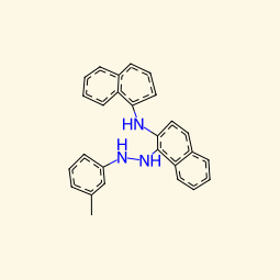 Cc1cccc(NNc2c(Nc3cccc4ccccc34)ccc3ccccc23)c1